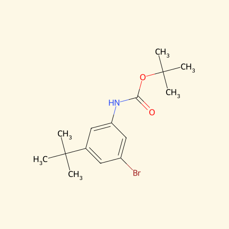 CC(C)(C)OC(=O)Nc1cc(Br)cc(C(C)(C)C)c1